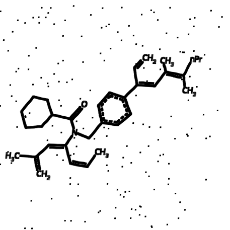 C=C/C(=C\C(C)=C(/C)CCC)c1ccc(CN(C(=O)C2CCCCC2)C(/C=C\C)=C/C(=C)C)cc1